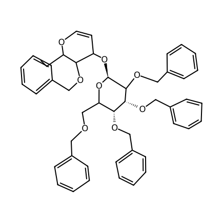 CCC1OC=CC(O[C@@H]2OC(COCc3ccccc3)[C@@H](OCc3ccccc3)[C@@H](OCc3ccccc3)C2OCc2ccccc2)C1OCc1ccccc1